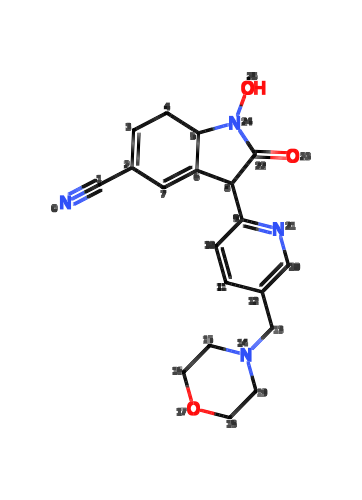 N#CC1=CCC2C(=C1)C(c1ccc(CN3CCOCC3)cn1)C(=O)N2O